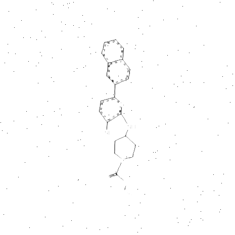 CC(C)(C)OC(=O)N1CCC(Nc2nc(-c3ccc4ccccc4c3)ccc2N)CC1